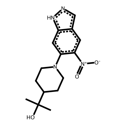 CC(C)(O)C1CCN(c2cc3[nH]ncc3cc2[N+](=O)[O-])CC1